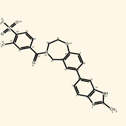 Cc1nc2ccc(-c3ccc4c(c3)CN(C(=O)c3ccc(S(C)(=O)=O)c(C(F)(F)F)c3)CCO4)cc2[nH]1